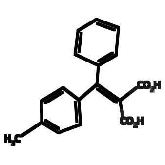 Cc1ccc(C(=C(C(=O)O)C(=O)O)c2ccccc2)cc1